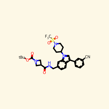 CC(C)(C)OC(=O)N1CC(C(=O)NCc2ccc3c(-c4cccc(C#N)c4)cn(C4CCN(S(=O)(=O)C(F)(F)F)CC4)c3c2)C1